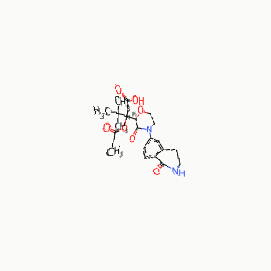 CC(=O)O[C@@](C(=O)O)([C@H]1OCCN(c2ccc3c(c2)CCNC3=O)C1=O)C(C)(C)C